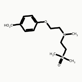 CN(CCOc1ccc(C(=O)O)cc1)CCP(C)(C)=O